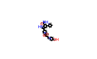 NC(=O)c1cc(-c2ccccc2)cc2c(C3CCN(S(=O)(=O)CCCN4CCC(O)CC4)CC3)c[nH]c12